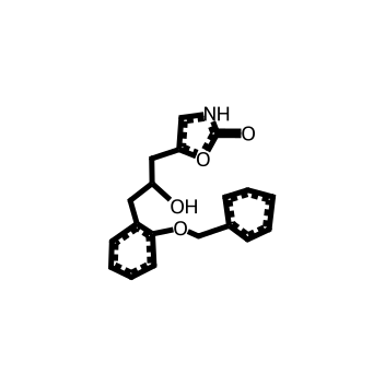 O=c1[nH]cc(CC(O)Cc2ccccc2OCc2ccccc2)o1